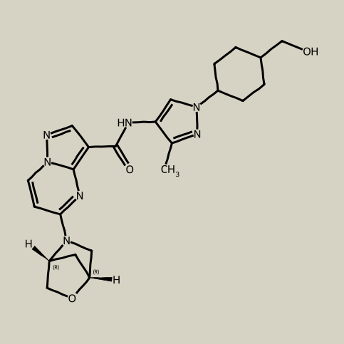 Cc1nn(C2CCC(CO)CC2)cc1NC(=O)c1cnn2ccc(N3C[C@H]4C[C@@H]3CO4)nc12